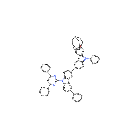 c1ccc(-c2ccc3c(c2)c2cc(-c4ccc5c(c4)c4cc6c(cc4n5-c4ccccc4)C4CC5CC(CC6C5)C4)ccc2n3-c2nc(-c3ccccc3)cc(-c3ccccc3)n2)cc1